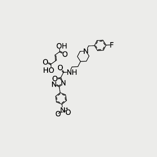 O=C(NCCC1CCN(Cc2ccc(F)cc2)CC1)c1nc(-c2ccc([N+](=O)[O-])cc2)no1.O=C(O)C=CC(=O)O